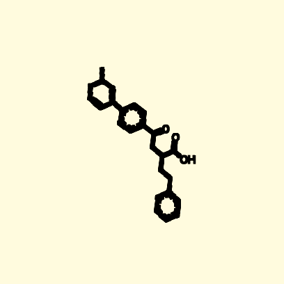 CC1C=C(c2ccc(C(=O)CC(CCc3ccccc3)C(=O)O)cc2)C=CC1